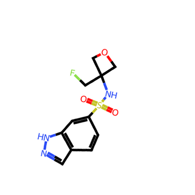 O=S(=O)(NC1(CF)COC1)c1ccc2cn[nH]c2c1